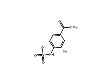 COC(=O)c1ccc(NS(=O)(=O)[O-])cc1.[Na+]